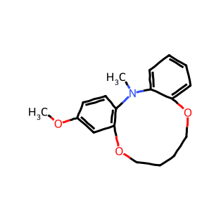 COc1ccc2c(c1)OCCCCOc1ccccc1N2C